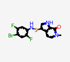 Cn1ccc2c(SNc3cc(F)c(Br)cc3F)c[nH]c2c1=O